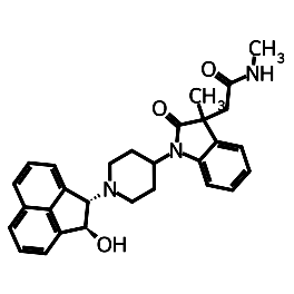 CNC(=O)CC1(C)C(=O)N(C2CCN([C@H]3c4cccc5cccc(c45)[C@@H]3O)CC2)c2ccccc21